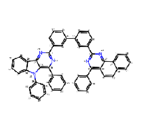 c1ccc(-c2nc(-c3cccc(-c4cccc(-c5nc(-c6ccccc6)c6c(n5)c5ccccc5n6-c5ccccc5)c4)c3)nc3c2ccc2ccccc23)cc1